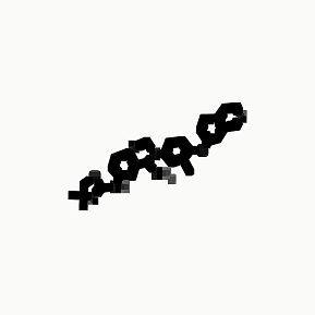 Cc1cc(N2C=Nc3ccc(NC4=NC(C)(C)CO4)cc3C2N)ccc1Oc1ccc2ccncc2c1